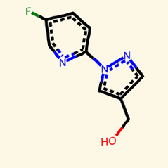 OCc1cnn(-c2ccc(F)cn2)c1